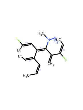 C=C(/C(F)=C\C)/C(=C(/C=C(/F)CC)C(\C=C/C)=C/CC)N(C)N